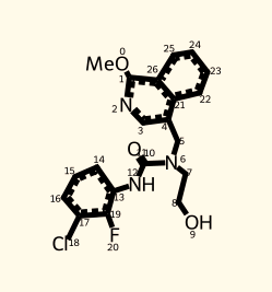 COc1ncc(CN(CCO)C(=O)Nc2cccc(Cl)c2F)c2ccccc12